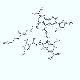 CCn1nc(C)cc1C(=O)CNc1nc2cc(C(N)=O)cc(OC)c2n1C/C=C/Cn1c2nc(-c3cc(C)nn3CC)ncc2c2cc(C(N)=O)cc(OCCCNC(=O)CCCC(=O)O)c21